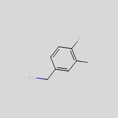 Cl.NCc1ccc(Br)c(F)c1